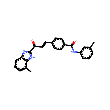 Cc1cccc(NC(=O)c2ccc(C=CC(=O)c3nc4cccc(C)c4[nH]3)cc2)c1